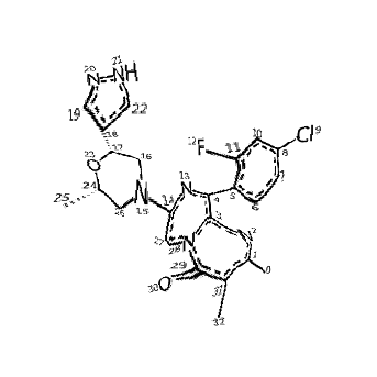 Cc1nc2c(-c3ccc(Cl)cc3F)nc(N3C[C@@H](c4cn[nH]c4)O[C@@H](C)C3)cn2c(=O)c1C